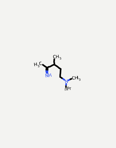 CCCN(C)CCC(C)C(C)=N